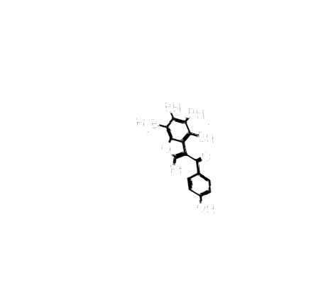 Bc1c(B)c(B)c2c(C(=O)c3ccc(O)cc3)c(CC)oc2c1B